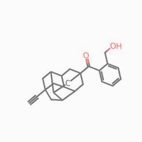 C#CC12CC3C4CC5(C(=O)c6ccccc6CO)CC3C(C1)C(C5)C4C2